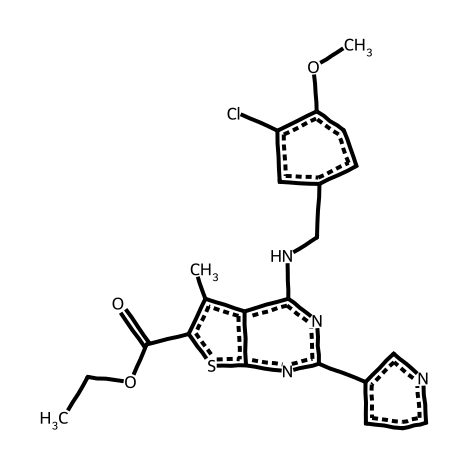 CCOC(=O)c1sc2nc(-c3cccnc3)nc(NCc3ccc(OC)c(Cl)c3)c2c1C